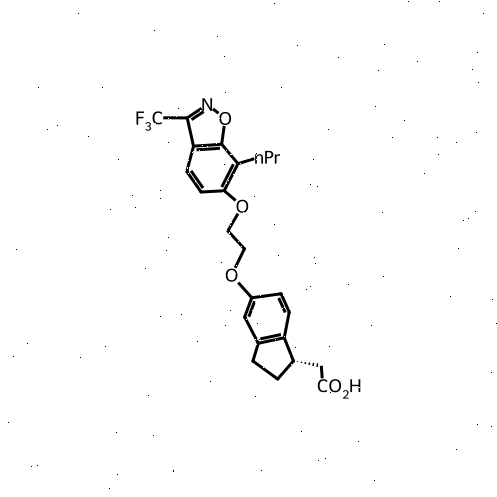 CCCc1c(OCCOc2ccc3c(c2)CC[C@H]3CC(=O)O)ccc2c(C(F)(F)F)noc12